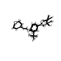 CC1(C)OB(c2ccc(OCCC3CCOCC3)c(C(F)(F)F)c2)OC1(C)C